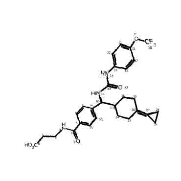 O=C(O)CCNC(=O)c1ccc(C(NC(=O)Nc2ccc(OC(F)(F)F)cc2)C2CCC(=C3CC3)CC2)cc1